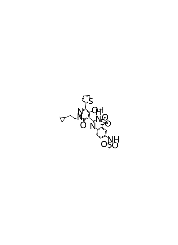 CS(=O)(=O)Nc1ccc2c(c1)S(=O)(=O)NC(c1c(O)c(-c3cccs3)nn(CCC3CC3)c1=O)=N2